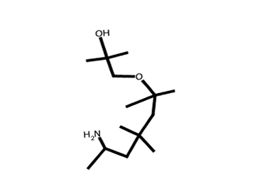 CC(N)CC(C)(C)CC(C)(C)OCC(C)(C)O